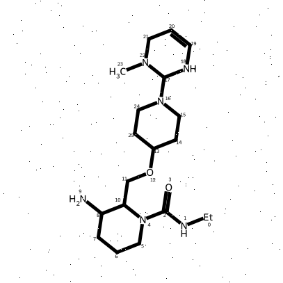 CCNC(=O)N1CCCC(N)C1COC1CCN(C2NC=CCN2C)CC1